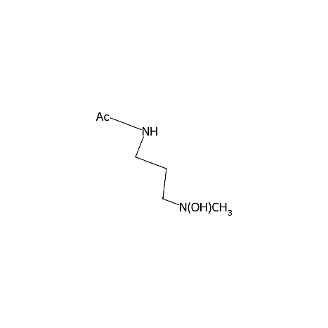 CC(=O)NCCCN(C)O